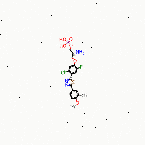 CC(C)Oc1ccc(-c2nnc(-c3cc(F)c(OC[C@@H](N)COP(=O)(O)O)cc3Cl)s2)cc1C#N